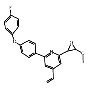 C=Cc1cc(-c2ccc(Oc3ccc(F)cc3)cc2)nc(C2OC2OC)c1